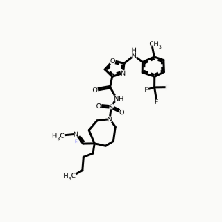 CCCCC1(/C=N/C)CCCN(S(=O)(=O)NC(=O)c2coc(Nc3cc(C(F)(F)F)ccc3C)n2)CC1